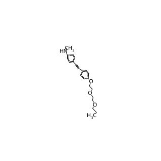 CCCOCCOCCOc1ccc(C#Cc2ccc(NC)cc2)cc1